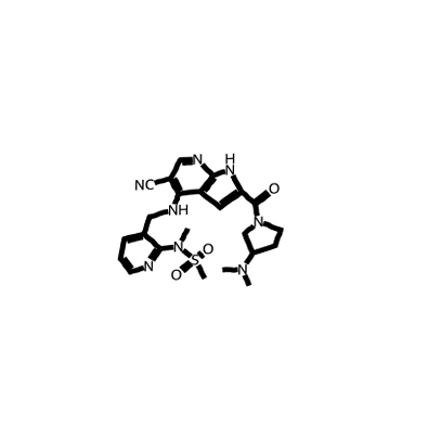 CN(C)C1CCN(C(=O)c2cc3c(NCc4cccnc4N(C)S(C)(=O)=O)c(C#N)cnc3[nH]2)C1